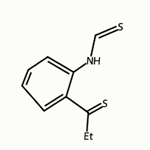 CCC(=S)c1ccccc1NC=S